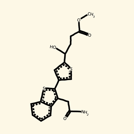 COC(=O)CCC(O)c1cc(-c2sc3ccccc3c2CC(N)=O)cs1